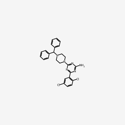 Nc1nc(-c2cc(Cl)ccc2Cl)nc(N2CCN(C(c3ccccc3)c3ccccc3)CC2)n1